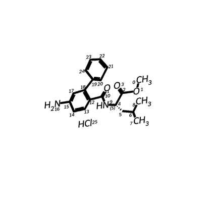 COC(=O)[C@H](CC(C)C)NC(=O)c1ccc(N)cc1-c1ccccc1.Cl